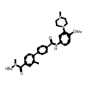 CCCCN(C)C(=O)c1ccc(-c2ccc(C(=O)Nc3ccc(OC)c(N4CCN(C)CC4)c3)cc2)c(C)c1